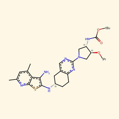 Cc1cc(C)c2c(N)c(N[C@H]3CCc4nc(N5C[C@H](NC(=O)OC(C)(C)C)[C@@H](OC(C)C)C5)ncc4C3)sc2n1